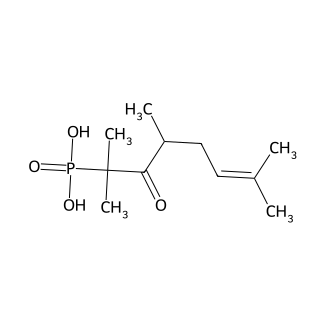 CC(C)=CCC(C)C(=O)C(C)(C)P(=O)(O)O